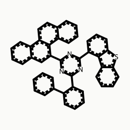 c1ccc(-c2ccccc2-c2nc(-c3cccc4sc5ccccc5c34)nc(-c3cc4ccccc4c4ccc5ccccc5c34)n2)cc1